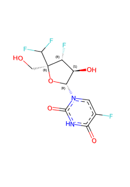 O=c1[nH]c(=O)n([C@@H]2O[C@@](CO)(C(F)F)[C@H](F)[C@H]2O)cc1F